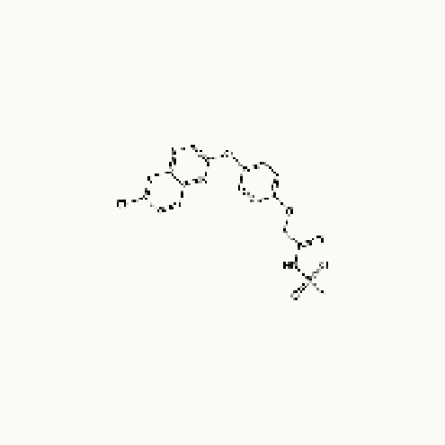 CS(=O)(=O)NC(=O)COc1ccc(Oc2cnc3cc(Cl)ccc3n2)cc1